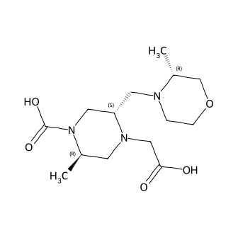 C[C@@H]1COCCN1C[C@H]1CN(C(=O)O)[C@H](C)CN1CC(=O)O